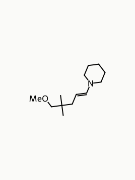 COCC(C)(C)C/C=C/N1CCCCC1